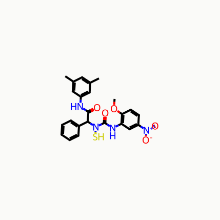 COc1ccc([N+](=O)[O-])cc1NC(=O)N(S)C(C(=O)Nc1cc(C)cc(C)c1)c1ccccc1